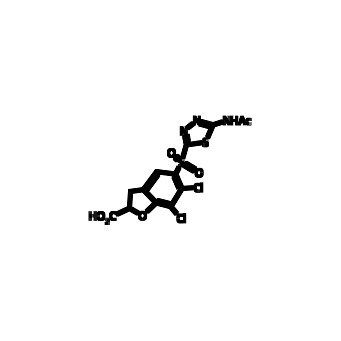 CC(=O)Nc1nnc(S(=O)(=O)c2cc3c(c(Cl)c2Cl)OC(C(=O)O)C3)s1